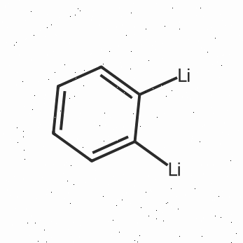 [Li][c]1cccc[c]1[Li]